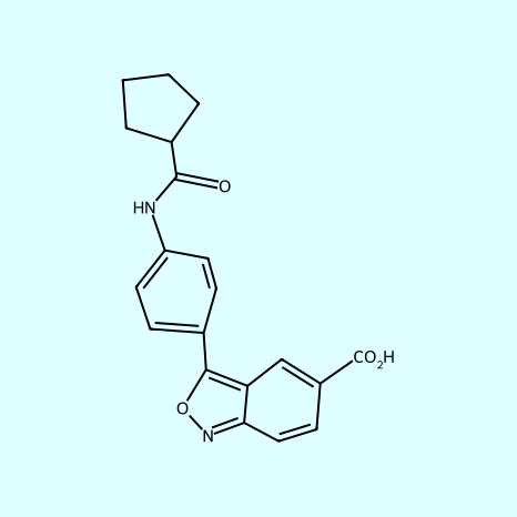 O=C(O)c1ccc2noc(-c3ccc(NC(=O)C4CCCC4)cc3)c2c1